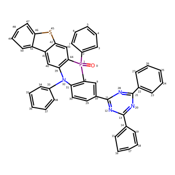 O=P1(c2ccccc2)c2cc(-c3nc(-c4ccccc4)nc(-c4ccccc4)n3)ccc2N(c2ccccc2)c2cc3c(cc21)sc1ccccc13